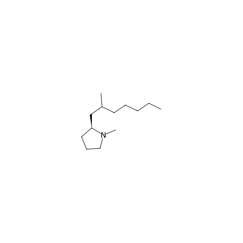 CCCCCC(C)C[C@@H]1CCCN1C